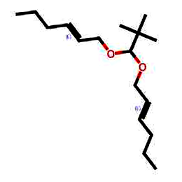 CCC/C=C/COC(OC/C=C/CCC)C(C)(C)C